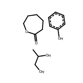 CC(O)CO.O=C1CCCCCO1.Oc1ccccc1